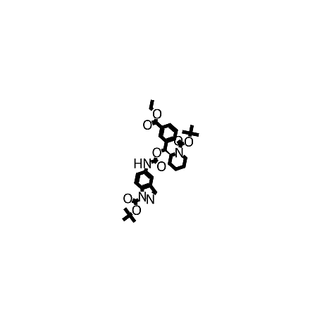 CCOC(=O)c1cccc(C(OC(=O)Nc2ccc3c(cnn3C(=O)OC(C)(C)C)c2)[C@@H]2CCCCN2C(=O)OC(C)(C)C)c1